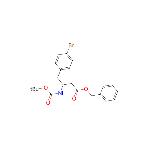 CC(C)(C)OC(=O)NC(CC(=O)OCc1ccccc1)Cc1ccc(Br)cc1